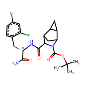 CC(C)(C)OC(=O)N1C2CC(C3CC32)C1C(=O)N[C@@H](Cc1ccc(Br)cc1F)C(N)=O